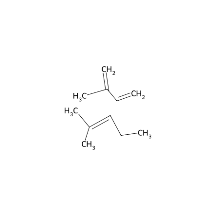 C=CC(=C)C.CCC=C(C)C